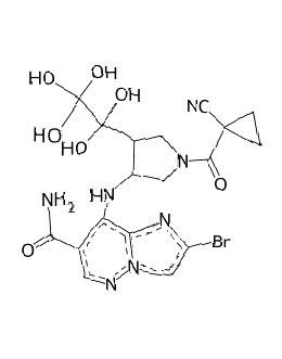 N#CC1(C(=O)N2CC(Nc3c(C(N)=O)cnn4cc(Br)nc34)C(C(O)(O)C(O)(O)O)C2)CC1